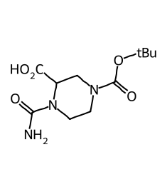 CC(C)(C)OC(=O)N1CCN(C(N)=O)C(C(=O)O)C1